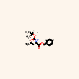 CCC[C@H](NC(=O)OC(C)(C)C)C(=O)OCc1ccccc1